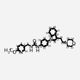 COc1ccc(CNC(=O)Nc2ccc(-n3cc(CCN4CCOCC4)c4ccccc43)cc2)cn1